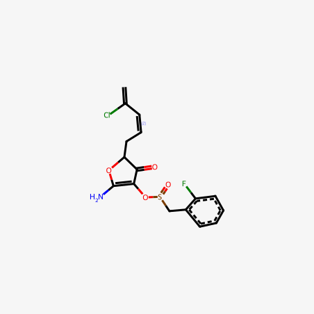 C=C(Cl)/C=C\CC1OC(N)=C(OS(=O)Cc2ccccc2F)C1=O